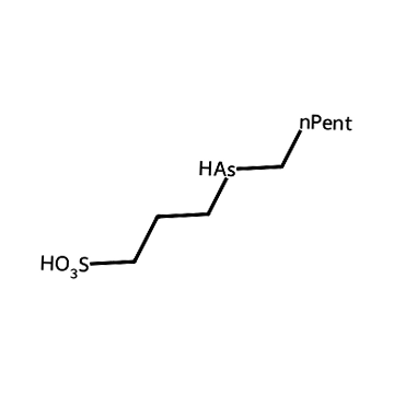 CCCCCC[AsH]CCCS(=O)(=O)O